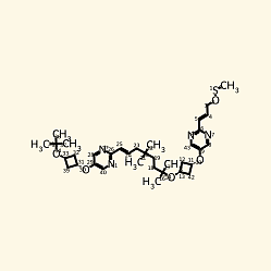 CSOC/C=C/c1ncc(O[C@H]2C[C@H](OC(C)(C)CCC(C)(C)C/C=C/c3ncc(O[C@H]4C[C@H](OC(C)(C)C)C4)cn3)C2)cn1